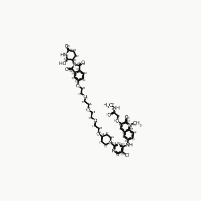 CNC(=O)COc1cc2cc(Nc3nc(N4CCC(OCCOCCOCCOCCOc5ccc6c(c5)C(=O)N(C5CCC(=O)NC5O)C6=O)CC4)ncc3Cl)ccc2n(C)c1=O